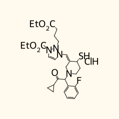 CCOC(=O)CCCN1N(/C=C2\CN(C(C(=O)C3CC3)c3ccccc3F)CCC2S)C=CN1C(=O)OCC.Cl